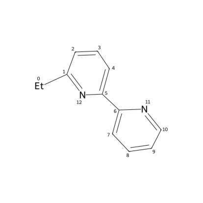 CCc1cccc(-c2ccccn2)n1